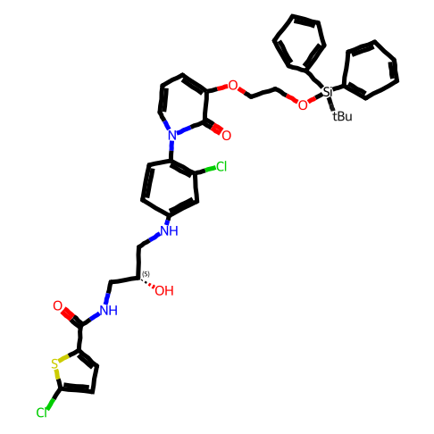 CC(C)(C)[Si](OCCOc1cccn(-c2ccc(NC[C@H](O)CNC(=O)c3ccc(Cl)s3)cc2Cl)c1=O)(c1ccccc1)c1ccccc1